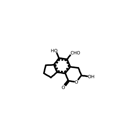 O=Cc1c(O)c2c(c3c1CC(O)OC3=O)CCC2